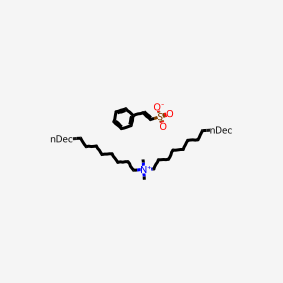 CCCCCCCCCCCCCCCCCC[N+](C)(C)CCCCCCCCCCCCCCCCCC.O=S(=O)([O-])C=Cc1ccccc1